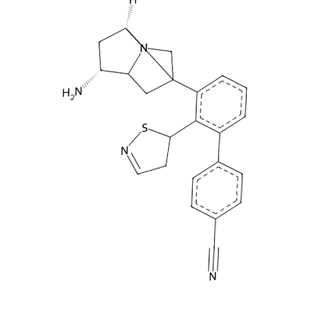 N#Cc1ccc(-c2cccc(C34CC5[C@H](N)C[C@H]3N5C4)c2C2CC=NS2)cc1